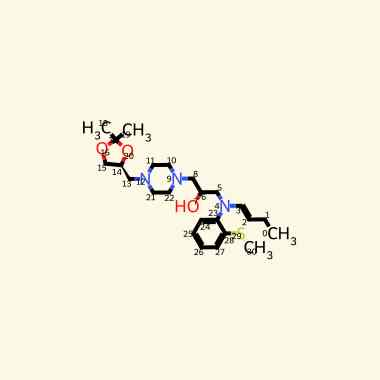 CC/C=C/N(CC(O)CN1CCN(C[C@H]2COC(C)(C)O2)CC1)c1ccccc1SC